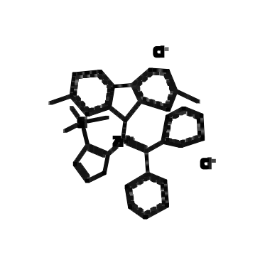 Cc1ccc2c(c1)[CH]([Zr+2]([C]1=C([Si](C)(C)C)C=CC1)=[C](c1ccccc1)c1ccccc1)c1cc(C)ccc1-2.[Cl-].[Cl-]